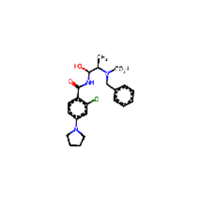 C[C@H](C(O)NC(=O)c1ccc(N2CCCC2)cc1Cl)N(Cc1ccccc1)C(=O)O